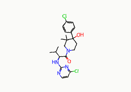 CC(C)C(Nc1nccc(Cl)n1)C(=O)N1CCC(O)(c2ccc(Cl)cc2)C(C)(C)C1